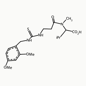 COc1ccc(CNC(=S)NCCC(=O)N(C)C(C(=O)O)C(C)C)c(OC)c1